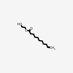 C=CCCCCCCCCC(=O)OCCO